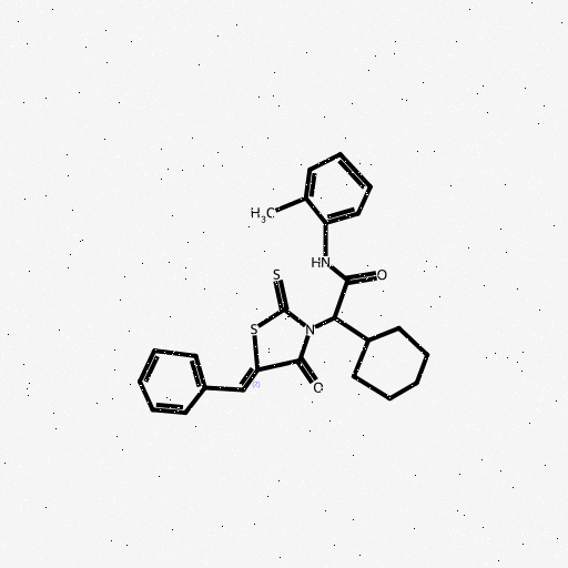 Cc1ccccc1NC(=O)C(C1CCCCC1)N1C(=O)/C(=C/c2ccccc2)SC1=S